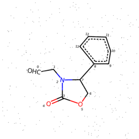 O=[C]CN1C(=O)OCC1c1ccccc1